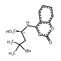 CC(C)(C)C(C)(C)C[C@H](Nc1nc(=O)oc2ccccc12)C(=O)O